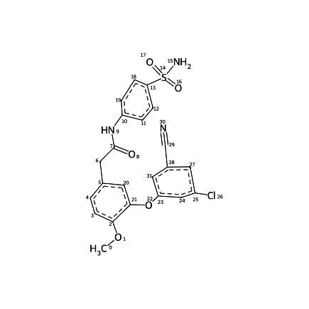 COc1ccc(CC(=O)Nc2ccc(S(N)(=O)=O)cc2)cc1Oc1cc(Cl)cc(C#N)c1